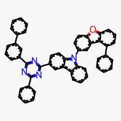 c1ccc(-c2cccc(-c3nc(-c4ccccc4)nc(-c4ccc5c(c4)c4ccccc4n5-c4ccc5oc6cccc(-c7ccccc7)c6c5c4)n3)c2)cc1